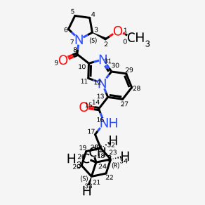 COC[C@@H]1CCCN1C(=O)c1cn2c(C(=O)NC[C@@H]3CC[C@H]4C[C@H]3C4(C)C)cccc2n1